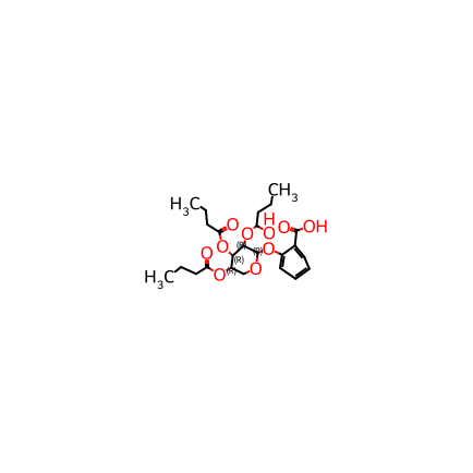 CCCC(=O)O[C@H]1[C@@H](OC(O)CCC)[C@@H](Oc2ccccc2C(=O)O)OC[C@H]1OC(=O)CCC